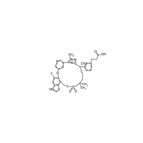 Cn1nc2nc1-c1cncc(c1)Oc1c(F)cc3[nH]ccc3c1CCS(=O)(=O)CC(C)(C)CCC[C@]2(C)c1cccc(CCC(=O)O)c1